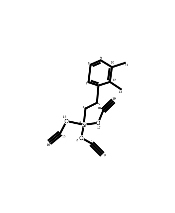 C#CO[Si](CCc1cccc(C)c1C)(OC#C)OC#C